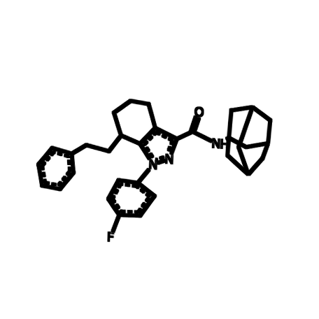 O=C(NC12CC3CC(CC(C3)C1)C2)c1nn(-c2ccc(F)cc2)c2c1CCCC2CCc1ccccc1